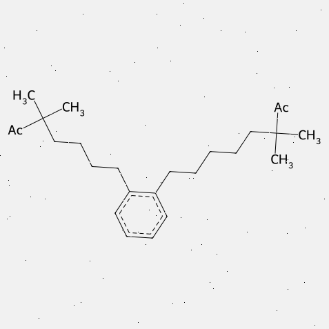 CC(=O)C(C)(C)CCCCCc1ccccc1CCCCC(C)(C)C(C)=O